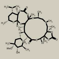 CC[C@H]1OC(=O)[C@H](C)[C@@H](O[C@H]2C[C@@](C)(OC)[C@@H](O)[C@H](C)O2)[C@H](C)[C@H]2O[C@@H]3O[C@H](C)C[C@H](N(C)C)[C@H]3OC(=O)O[C@]2(C)C[C@@H](C)CN(C)[C@H](C)[C@H]2OC(=O)O[C@@]21C